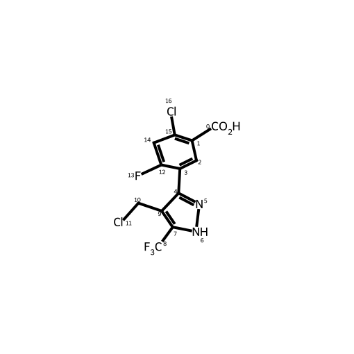 O=C(O)c1cc(-c2n[nH]c(C(F)(F)F)c2CCl)c(F)cc1Cl